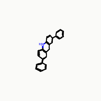 c1ccc(-c2ccc3c(c2)Cc2cc(-c4ccccc4)ccc2N3)cc1